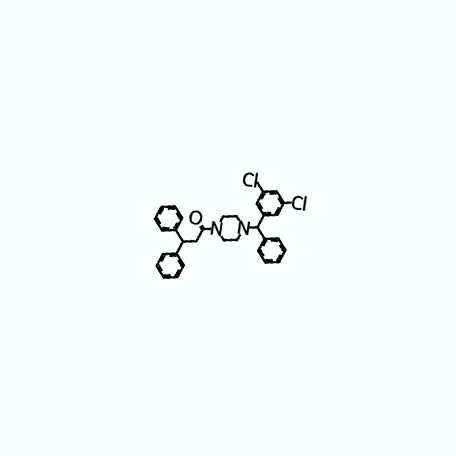 O=C(CC(c1ccccc1)c1ccccc1)N1CCN(C(c2ccccc2)c2cc(Cl)cc(Cl)c2)CC1